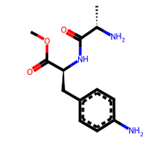 COC(=O)[C@H](Cc1ccc(N)cc1)NC(=O)[C@H](C)N